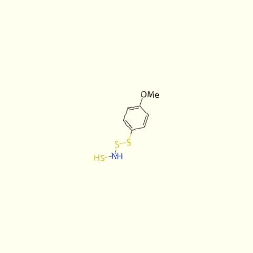 COc1ccc(SSNS)cc1